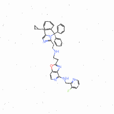 Fc1cccnc1CNc1nccc2oc(CCNCCc3ncc(CC4CC4)n3C(c3ccccc3)(c3ccccc3)c3ccccc3)nc12